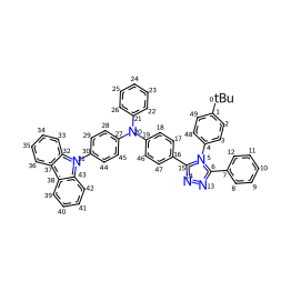 CC(C)(C)c1ccc(-n2c(-c3ccccc3)nnc2-c2ccc(N(c3ccccc3)c3ccc(-n4c5ccccc5c5ccccc54)cc3)cc2)cc1